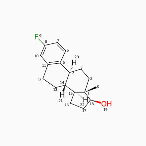 C[C@]12CC[C@@H]3c4ccc(F)cc4CC[C@H]3[C@@H]1CC[C@@H]2O